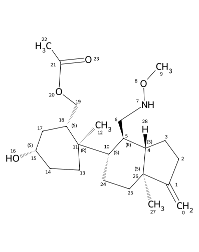 C=C1CC[C@H]2[C@H](CNOC)[C@@H]([C@@]3(C)CC[C@H](O)C[C@@H]3COC(C)=O)CC[C@]12C